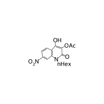 CCCCCCn1c(=O)c(OC(C)=O)c(O)c2ccc([N+](=O)[O-])cc21